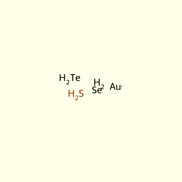 S.[Au].[SeH2].[TeH2]